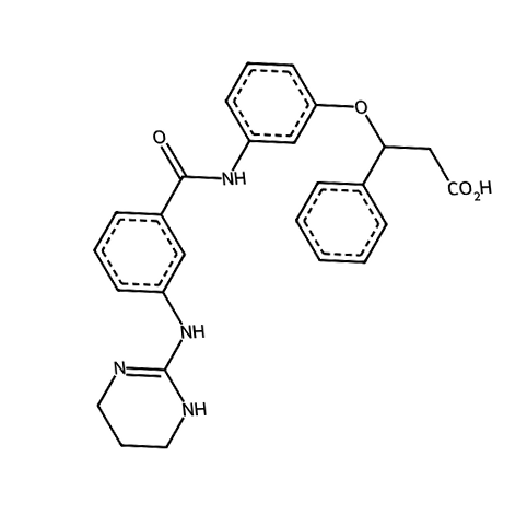 O=C(O)CC(Oc1cccc(NC(=O)c2cccc(NC3=NCCCN3)c2)c1)c1ccccc1